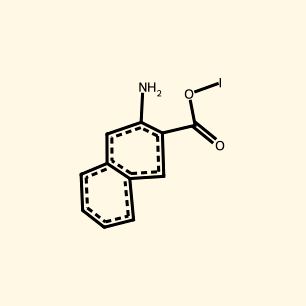 Nc1cc2ccccc2cc1C(=O)OI